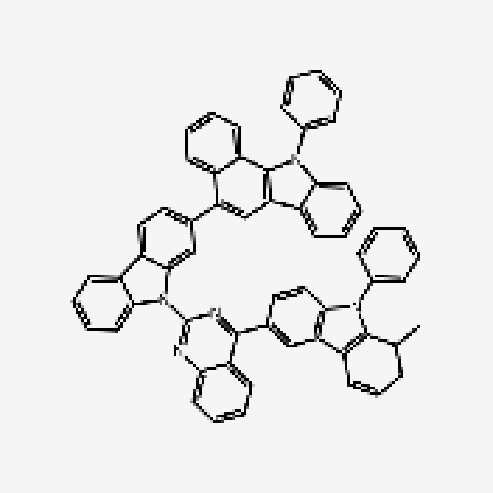 CC1CC=Cc2c1n(-c1ccccc1)c1ccc(-c3nc(-n4c5ccccc5c5ccc(-c6cc7c8ccccc8n(-c8ccccc8)c7c7ccccc67)cc54)nc4ccccc34)cc21